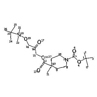 CC(C)(C)OC(=O)N1CCC(C)(C(=O)OCC(=O)CO[Si](C)(C)C(C)(C)C)CC1